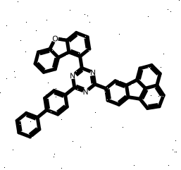 c1ccc(-c2ccc(-c3nc(-c4ccc5c(c4)-c4cccc6cccc-5c46)nc(-c4cccc5oc6ccccc6c45)n3)cc2)cc1